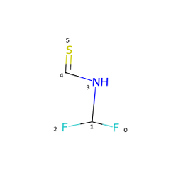 FC(F)NC=S